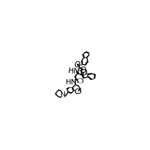 O=C(CC(NS(=O)(=O)c1ccc2ccccc2c1)c1cc2ccccc2o1)NC1CCOc2cc(CN3CCCCC3)ccc21